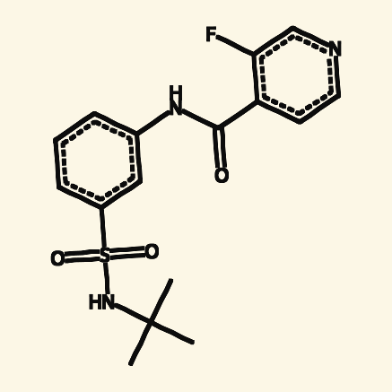 CC(C)(C)NS(=O)(=O)c1cccc(NC(=O)c2ccncc2F)c1